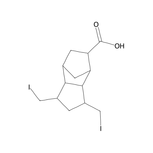 O=C(O)C1CC2CC1C1C(CI)CC(CI)C21